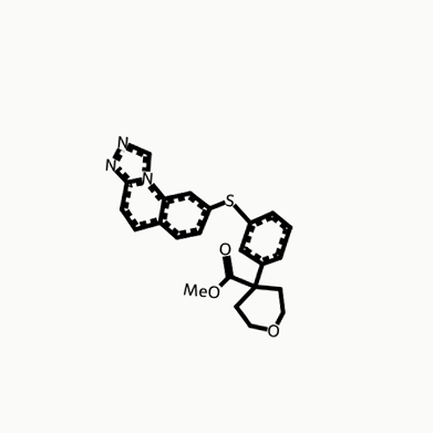 COC(=O)C1(c2cccc(Sc3ccc4ccc5nncn5c4c3)c2)CCOCC1